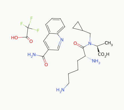 C[C@@H](C(=O)O)N(CC1CC1)C(=O)[C@H](N)CCCCN.NC(=O)c1cnc2ccccc2c1.O=C(O)C(F)(F)F